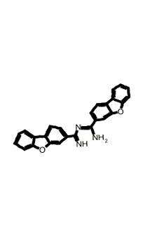 N=C(/N=C(\N)c1ccc2c(c1)oc1ccccc12)c1ccc2c(c1)oc1ccccc12